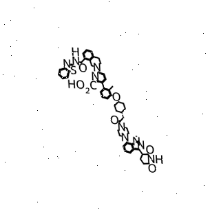 Cc1c(O[C@H]2CC[C@H](CC(=O)N3CCN(c4cccc5c(C6CCC(=O)NC6=O)nn(C)c45)CC3)CC2)cccc1-c1ccc(N2CCc3cccc(C(=O)Nc4nc5ccccc5s4)c3C2)nc1C(=O)O